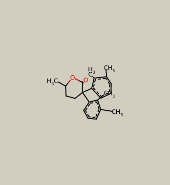 Cc1cccc(C2(c3cccc(C)c3C)CCC(C)OC2=O)c1C